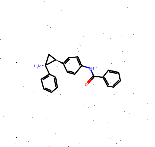 N[C@]1(c2ccccc2)C[C@H]1c1ccc(NC(=O)c2ccccc2)cc1